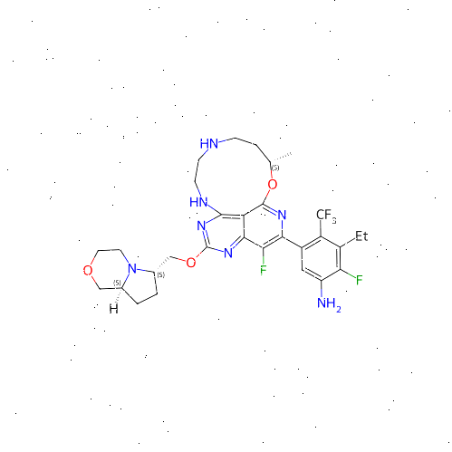 CCc1c(F)c(N)cc(-c2nc3c4c(nc(OC[C@@H]5CC[C@H]6COCCN65)nc4c2F)NCCNCC[C@H](C)O3)c1C(F)(F)F